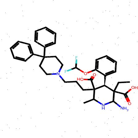 CCC1(C(=O)O)C(N)NC(C)C(CCCN2CCC(c3ccccc3)(c3ccccc3)CC2)(C(=O)O)[C@H]1c1ccccc1OC(F)F